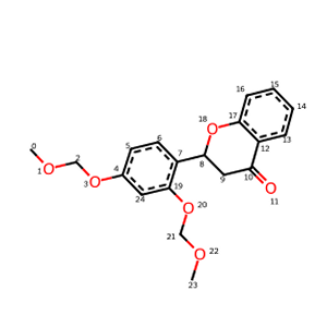 COCOc1ccc(C2CC(=O)c3ccccc3O2)c(OCOC)c1